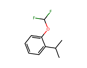 CC(C)c1ccccc1OC(F)F